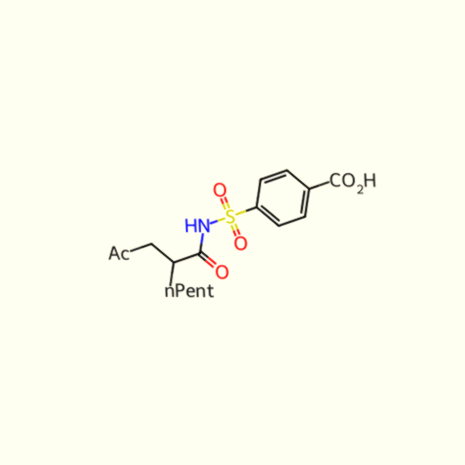 CCCCCC(CC(C)=O)C(=O)NS(=O)(=O)c1ccc(C(=O)O)cc1